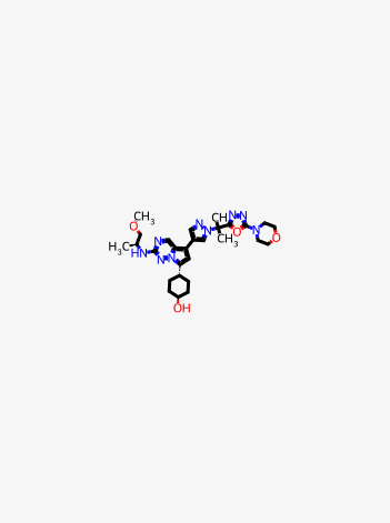 COC[C@H](C)Nc1ncc2c(-c3cnn(C(C)(C)c4nnc(N5CCOCC5)o4)c3)cc([C@H]3CC[C@H](O)CC3)n2n1